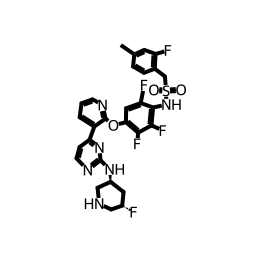 Cc1ccc(CS(=O)(=O)Nc2c(F)cc(Oc3ncccc3-c3ccnc(N[C@@H]4CNC[C@@H](F)C4)n3)c(F)c2F)c(F)c1